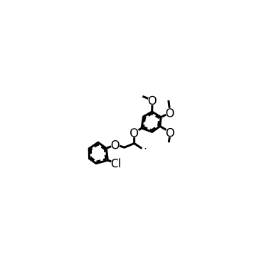 [CH2]C(COc1ccccc1Cl)Oc1cc(OC)c(OC)c(OC)c1